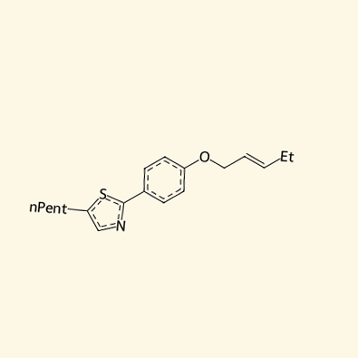 CC/C=C/COc1ccc(-c2ncc(CCCCC)s2)cc1